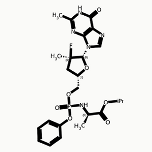 Cc1nc2c(ncn2[C@@H]2O[C@H](COP(=O)(N[C@H](C)C(=O)OC(C)C)Oc3ccccc3)C[C@@]2(C)F)c(=O)[nH]1